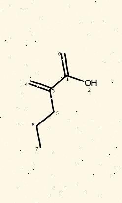 C=C(O)C(=C)CCC